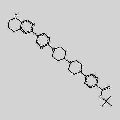 CC(C)(C)OC(=O)c1ccc(N2CCN(C3CCN(c4ccc(-c5cc6c(cn5)NCCC6)cn4)CC3)CC2)cc1